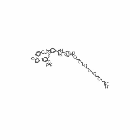 [N-]=[N+]=NCCOCCOCCOCCOCCOCCOCC(=O)N1CCN(c2ncc(-c3ccc4nc(COc5cccc(N6CCCC6=O)c5)n(Cc5ccccc5OC(F)F)c4c3)cn2)CC1